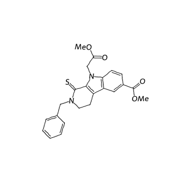 COC(=O)Cn1c2c(c3cc(C(=O)OC)ccc31)CCN(Cc1ccccc1)C2=S